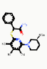 CCc1c(C#N)c(SC(C(N)=O)c2ccccc2)nc(N2CCC[C@H](NC)C2)c1C#N